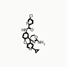 NC1=N[C@@]2(CCO1)c1cc(NC(=O)c3ccc(Cl)cn3)ccc1Oc1cnc(C3CC3)cc12